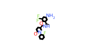 C[C@@H](NC(=O)c1ccc(=O)n(-c2ccccc2F)c1)c1cc(N)cc(C(F)F)c1